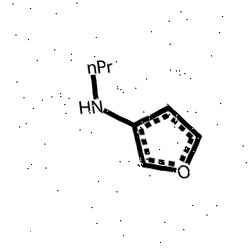 CCCNc1[c]occ1